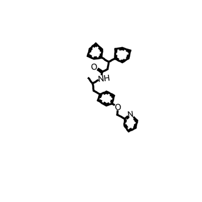 CC(Cc1ccc(OCc2ccccn2)cc1)NC(=O)CC(c1ccccc1)c1ccccc1